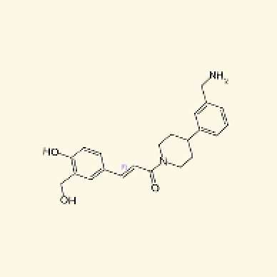 NCc1cccc(C2CCN(C(=O)/C=C/c3ccc(O)c(CO)c3)CC2)c1